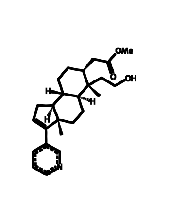 COC(=O)C[C@@H]1CC[C@@H]2[C@H](CC[C@]3(C)C(c4cccnc4)=CC[C@@H]23)[C@@]1(C)CCO